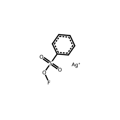 O=S(=O)(OF)c1ccccc1.[Ag+]